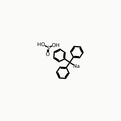 O=S(O)O.[Na][C](c1ccccc1)(c1ccccc1)c1ccccc1